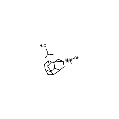 C1C2CC3C4CC5CC(C14)C(C2)C3C5.CN(C)C.N.NO.O